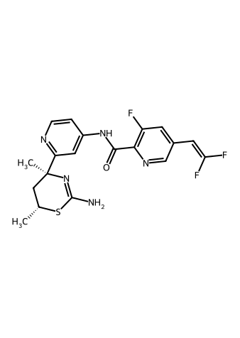 C[C@@H]1C[C@@](C)(c2cc(NC(=O)c3ncc(C=C(F)F)cc3F)ccn2)N=C(N)S1